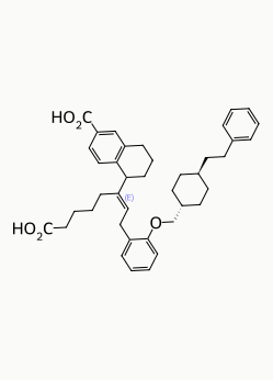 O=C(O)CCCC/C(=C\Cc1ccccc1OC[C@H]1CC[C@H](CCc2ccccc2)CC1)C1CCCc2cc(C(=O)O)ccc21